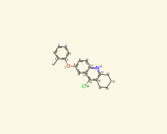 Cc1ccccc1Oc1ccc2nc3c(c(Cl)c2c1)CCCC3